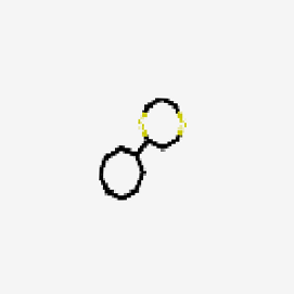 C1CCCC(C2CCSCCCS2)CCC1